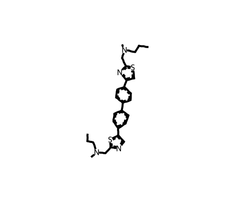 CCCN(C)Cc1nc(-c2ccc(-c3ccc(-c4cnc(CN(C)CCC)s4)cc3)cc2)cs1